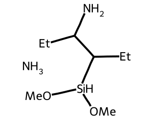 CCC(N)C(CC)[SiH](OC)OC.N